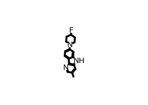 Cc1cnc2c(c1)[nH]c1cc(N3CCC(F)CC3)ccc12